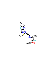 CNC(=O)c1cc(NCC#Cc2nc3c(N[C@@H]4CCN(C)C[C@@H]4F)cccn3c2SC(F)(F)F)c(OC)cc1F